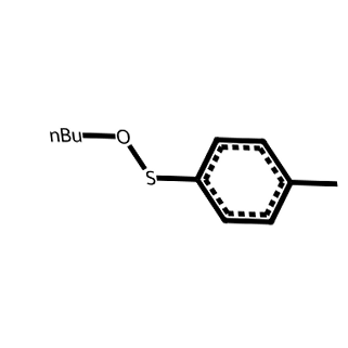 CCCCOSc1ccc(C)cc1